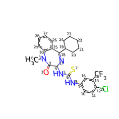 CN1C(=O)C(NC(=S)Nc2ccc(Cl)c(C(F)(F)F)c2)N=C(C2CCCCC2)c2ccccc21